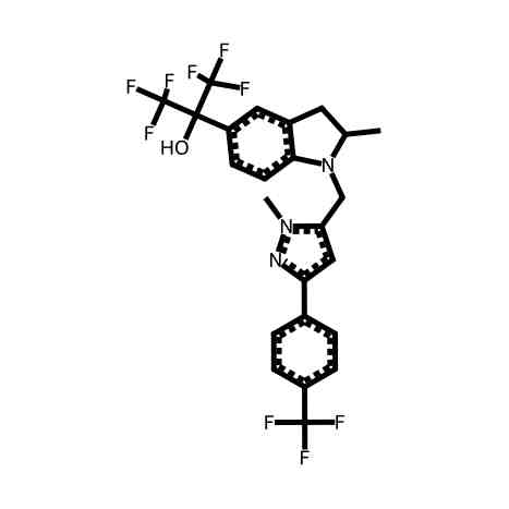 CC1Cc2cc(C(O)(C(F)(F)F)C(F)(F)F)ccc2N1Cc1cc(-c2ccc(C(F)(F)F)cc2)nn1C